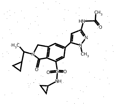 CC(=O)Nc1cc(-c2cc3c(c(S(=O)(=O)NC4CC4)c2)C(=O)N(C(C)C2CC2)C3)n(C)n1